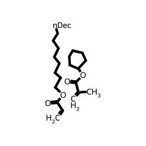 C=C(C)C(=O)OC1CCCCC1.C=CC(=O)OCCCCCCCCCCCCCCCCCC